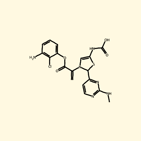 C=C(C(=O)Oc1cccc(N)c1Cl)N1C=C(NC(=O)O)SC1c1ccnc(NC)n1